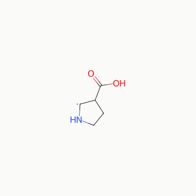 O=C(O)C1[CH]NCC1